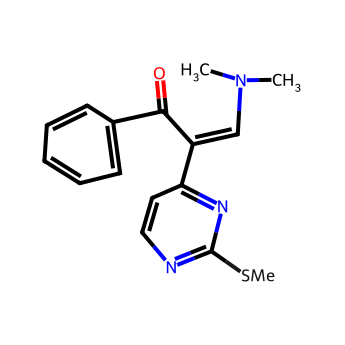 CSc1nccc(C(=CN(C)C)C(=O)c2ccccc2)n1